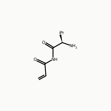 C=CC(=O)NC(=O)[C@H](N)C(C)C